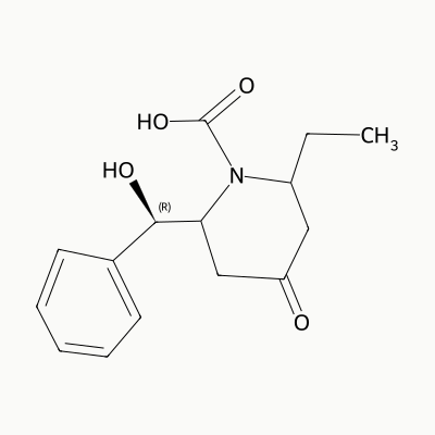 CCC1CC(=O)CC([C@H](O)c2ccccc2)N1C(=O)O